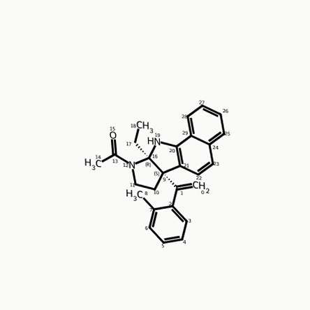 C=C(c1ccccc1C)[C@]12CCN(C(C)=O)[C@@]1(CC)Nc1c2ccc2ccccc12